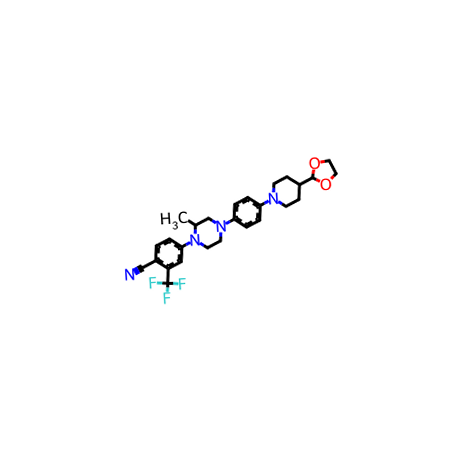 CC1CN(c2ccc(N3CCC(C4OCCO4)CC3)cc2)CCN1c1ccc(C#N)c(C(F)(F)F)c1